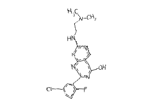 CN(C)CCNc1ccc2c(O)nc(-c3cc(Cl)ccc3F)nc2n1